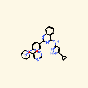 c1ccc2c(Nc3cc(C4CC4)[nH]n3)nc(-c3ccc(N4CC5CC(C4)N5Cc4cncnc4)nc3)nc2c1